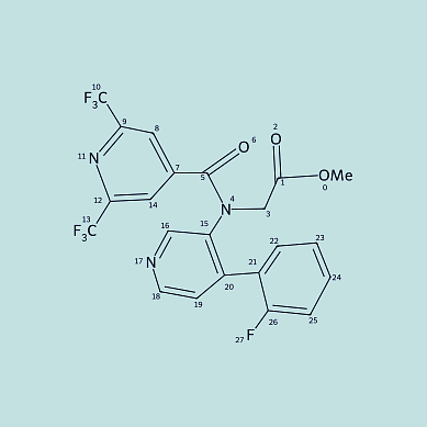 COC(=O)CN(C(=O)c1cc(C(F)(F)F)nc(C(F)(F)F)c1)c1cnccc1-c1ccccc1F